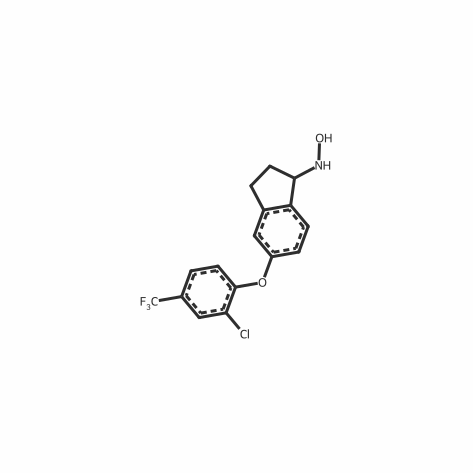 ONC1CCc2cc(Oc3ccc(C(F)(F)F)cc3Cl)ccc21